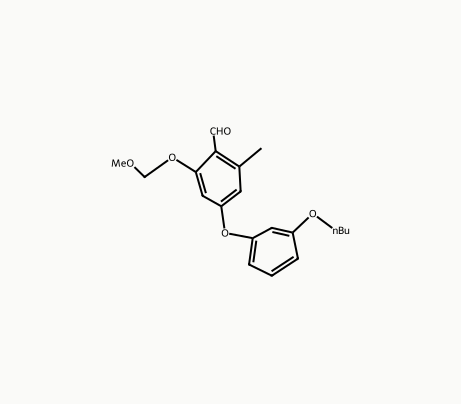 CCCCOc1cccc(Oc2cc(C)c(C=O)c(OCOC)c2)c1